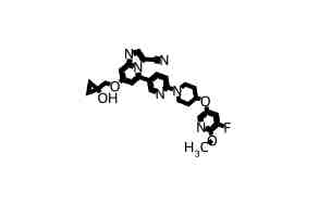 COc1ncc(OC2CCN(c3ccc(-c4cc(OCC5(O)CC5)cc5ncc(C#N)n45)cn3)CC2)cc1F